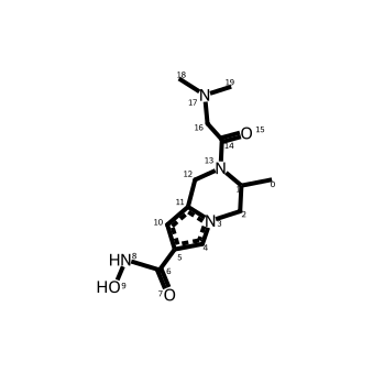 CC1Cn2cc(C(=O)NO)cc2CN1C(=O)CN(C)C